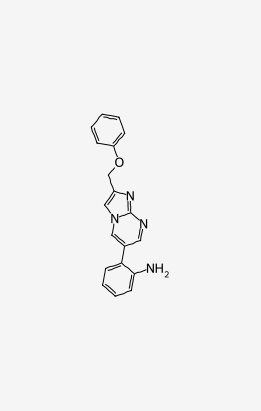 Nc1ccccc1-c1cnc2nc(COc3ccccc3)cn2c1